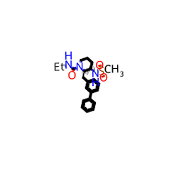 CCNC(=O)N1CCC[C@H](NS(C)(=O)=O)[C@H]1Cc1cccc(-c2ccccc2)c1